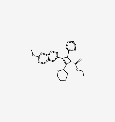 CCOC(=O)[C@@H]1C(C2SCCCS2)=C(c2ccc3cc(OC)ccc3c2)[C@H]1c1ccccc1